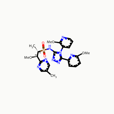 COc1cccc(-c2nnc(NS(=O)(=O)[C@@H](C)[C@H](OC)c3ncc(C)cn3)n2-c2cccnc2OC)n1